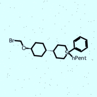 CCCCC[Si]1(c2ccccc2)CCC([C@H]2CC[C@H](OCBr)CC2)CC1